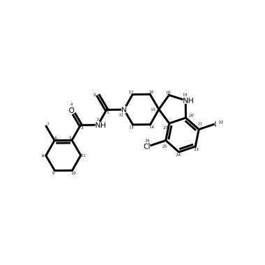 C=C(NC(=O)C1=C(C)CCCC1)N1CCC2(CC1)CNc1c(I)ccc(Cl)c12